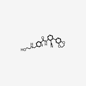 N#Cc1c(NC(=O)c2ccc(CNCCO)cn2)cccc1-c1ccc2c(c1)OCCO2